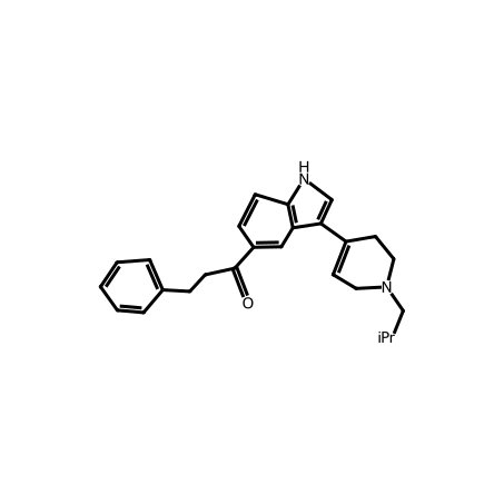 CC(C)CN1CC=C(c2c[nH]c3ccc(C(=O)CCc4ccccc4)cc23)CC1